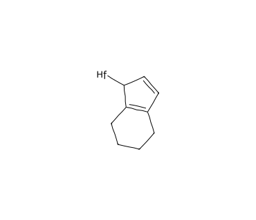 [Hf][CH]1C=CC2=C1CCCC2